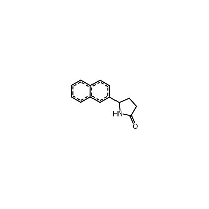 O=C1CCC(c2ccc3ccccc3c2)N1